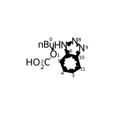 CCCCOC(=O)O.c1ccc2[nH]nnc2c1